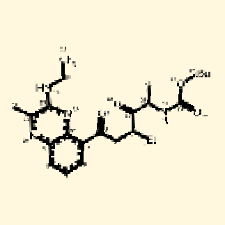 CCC(CC(=O)c1cccc2nc(C)c(NCC(F)(F)F)nc12)C(=O)C(C)NC(=O)OC(C)(C)C